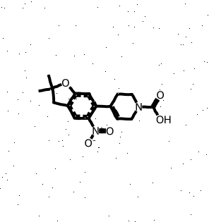 CC1(C)Cc2cc([N+](=O)[O-])c(C3=CCN(C(=O)O)CC3)cc2O1